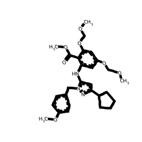 COCOc1cc(Nc2cc(C3CCCC3)nn2Cc2ccc(OC)cc2)c(C(=O)OC)c(OCOC)c1